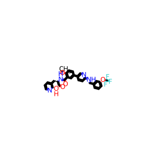 COc1ccc(-c2ccc(NCc3cccc(OC(F)(F)F)c3)nc2)cc1C(=O)N[C@H](Cc1cccnc1)C(=O)O